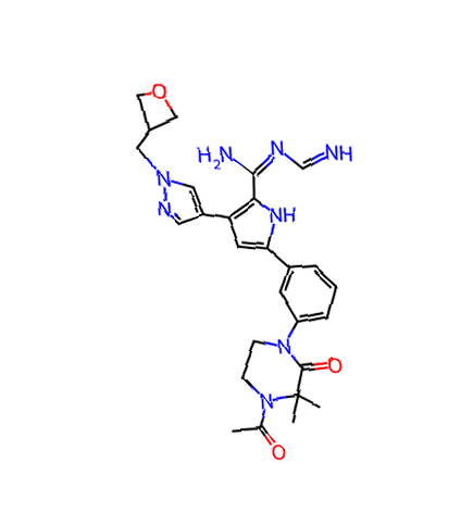 CC(=O)N1CCN(c2cccc(-c3cc(-c4cnn(CC5COC5)c4)c(/C(N)=N\C=N)[nH]3)c2)C(=O)C1(C)C